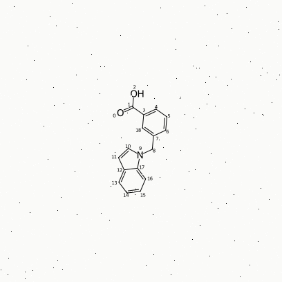 O=C(O)c1cccc(Cn2ccc3ccccc32)c1